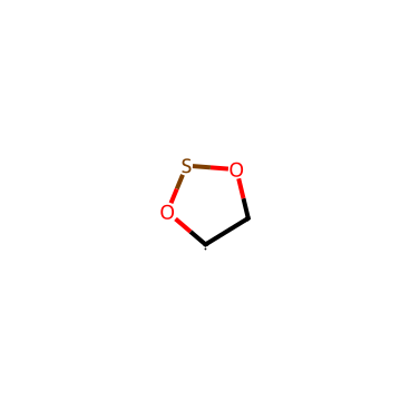 [CH]1COSO1